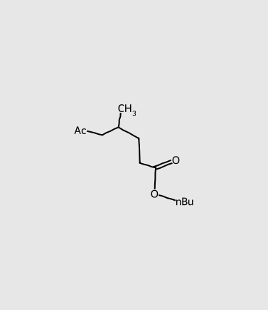 CCCCOC(=O)CCC(C)CC(C)=O